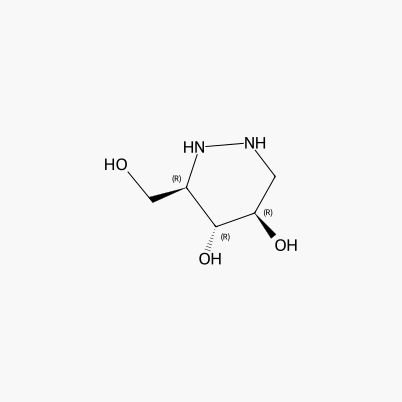 OC[C@H]1NNC[C@@H](O)[C@@H]1O